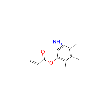 C=CC(=O)Oc1ccc(C)c(C)c1C.N